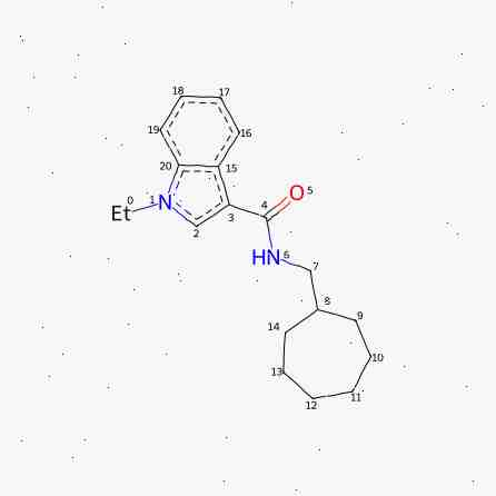 CCn1cc(C(=O)NCC2CCCCCC2)c2ccccc21